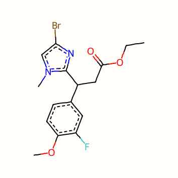 CCOC(=O)CC(c1ccc(OC)c(F)c1)c1nc(Br)cn1C